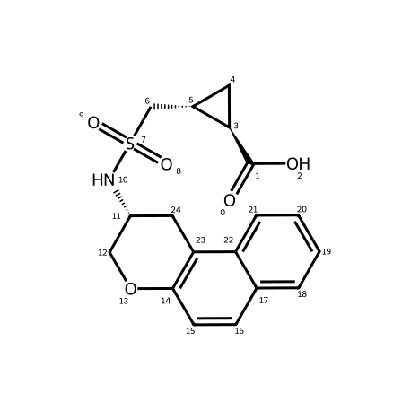 O=C(O)[C@@H]1C[C@H]1CS(=O)(=O)N[C@H]1COc2ccc3ccccc3c2C1